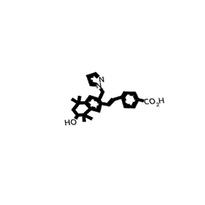 CC1(C)CC(O)C(C)(C)c2cc(/C=C/c3ccc(C(=O)O)cc3)c(Cn3cccn3)cc21